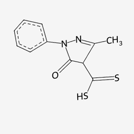 CC1=NN(c2ccccc2)C(=O)C1C(=S)S